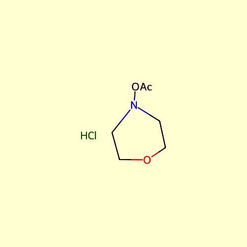 CC(=O)ON1CCOCC1.Cl